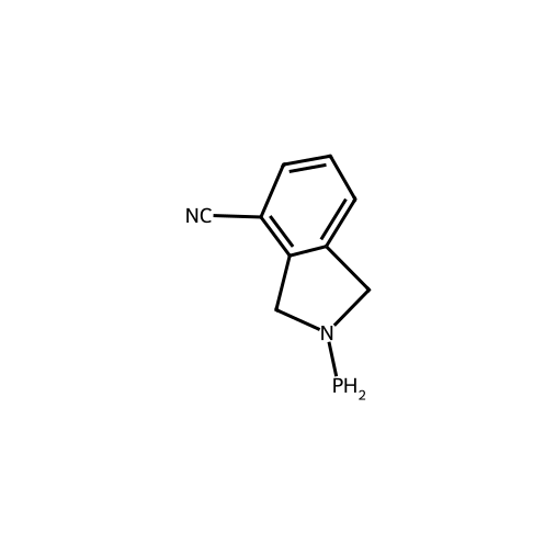 N#Cc1cccc2c1CN(P)C2